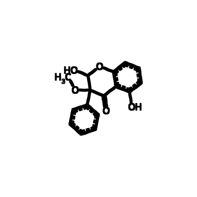 COC1(c2ccccc2)C(=O)c2c(O)cccc2OC1O